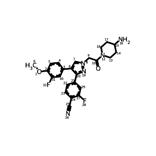 COc1ccc(-c2cn(CC(=O)N3CCC(N)CC3)nc2-c2ccc(C#N)c(F)c2)cc1F